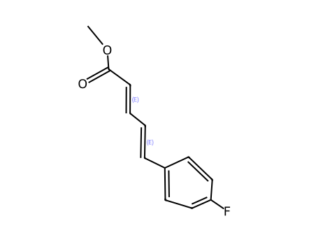 COC(=O)/C=C/C=C/c1ccc(F)cc1